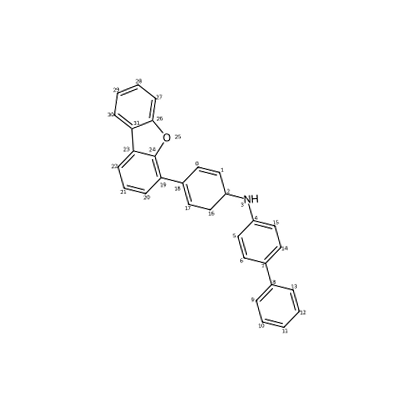 C1=CC(Nc2ccc(-c3ccccc3)cc2)CC=C1c1cccc2c1oc1ccccc12